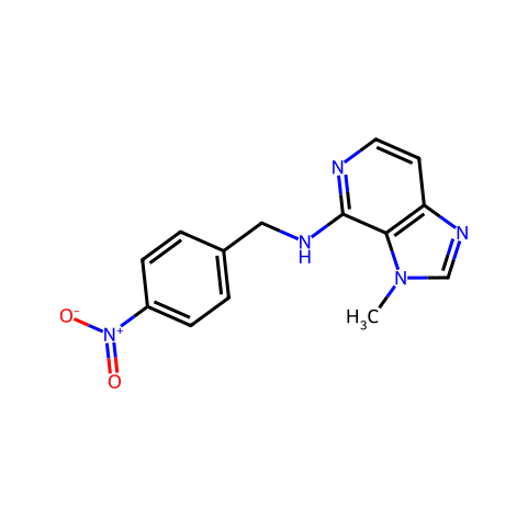 Cn1cnc2ccnc(NCc3ccc([N+](=O)[O-])cc3)c21